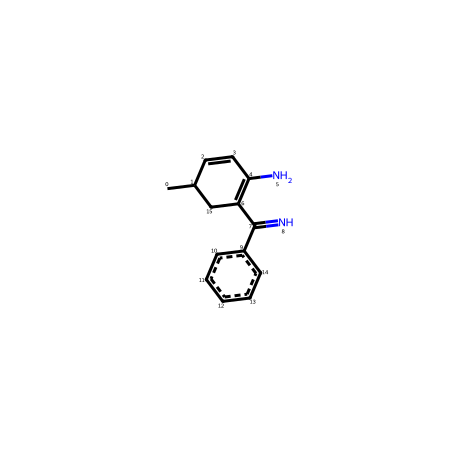 CC1C=CC(N)=C(C(=N)c2ccccc2)C1